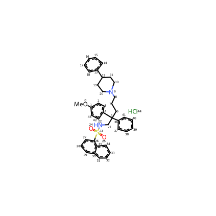 COc1ccc(C(CCCN2CCC(c3ccccc3)CC2)(CNS(=O)(=O)c2cccc3ccccc23)c2ccccc2)cc1.Cl